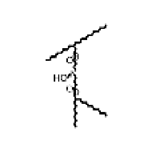 CCCCCCCCCCCC(CCCCCCCCC)CCOC(=O)CCCN(CCO)CCCC(=O)OCC(CCCCCCCC)CCCCCCCCCC